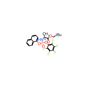 C[C@H](NP(=O)(Oc1c(F)c(F)c(F)c(F)c1F)Oc1cccc2ccccc12)C(=O)OCC(C)(C)C